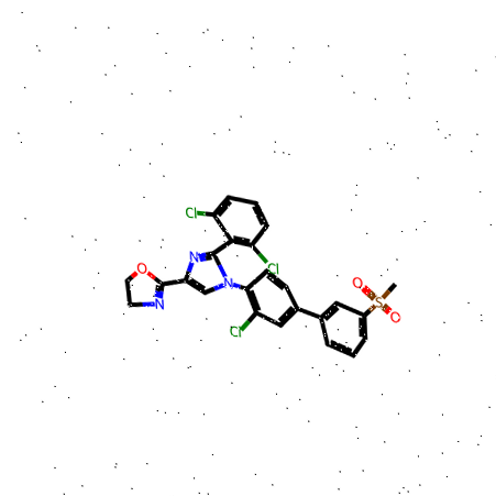 CS(=O)(=O)c1cccc(-c2ccc(-n3cc(C4=NCCO4)nc3-c3c(Cl)cccc3Cl)c(Cl)c2)c1